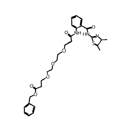 CC1N=C(NC(=O)c2ccccc2NC(=O)CCOCCOCCOCCC(=O)OCc2ccccc2)SC1C